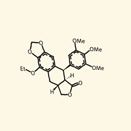 CCOc1c2c(cc3c1OCO3)[C@@H](c1cc(OC)c(OC)c(OC)c1)[C@H]1C(=O)OC[C@@H]1C2